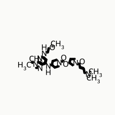 COCCNc1cc(NC2CCN(C(=O)OC3CCN(C(=O)C=CCN(C)C)C3)CC2)c2ncn(C(C)C)c2n1